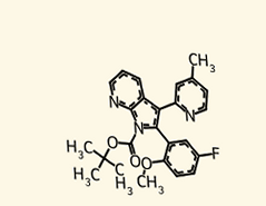 COc1ccc(F)cc1-c1c(-c2cc(C)ccn2)c2cccnc2n1C(=O)OC(C)(C)C